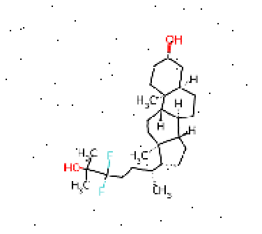 C[C@H](CCC(F)(F)C(C)(C)O)[C@H]1CC[C@H]2[C@@H]3CC[C@@H]4C[C@H](O)CC[C@]4(C)[C@H]3CC[C@]12C